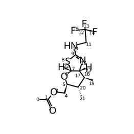 CC(=O)OC[C@H]1O[C@@H]2SC(NCC(F)(F)F)=N[C@@H]2[C@@H](C)[C@@H]1C